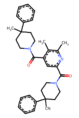 Cc1nc(C(=O)N2CCC(C#N)(c3ccccc3)CC2)cc(C(=O)N2CCC(C)(c3ccccc3)CC2)c1C